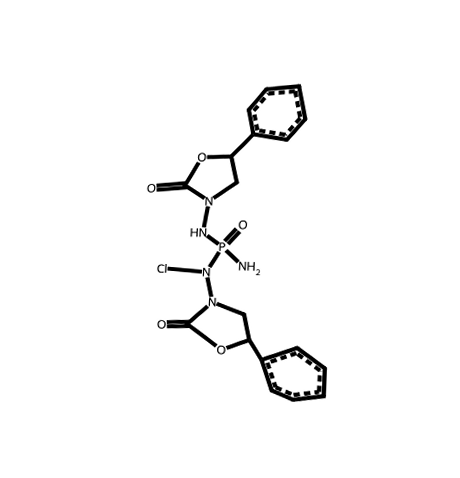 NP(=O)(NN1CC(c2ccccc2)OC1=O)N(Cl)N1CC(c2ccccc2)OC1=O